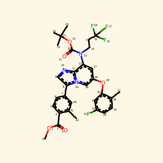 COC(=O)c1ccc(-c2cnc3c(N(CCC(F)(F)F)C(=O)OC(C)(C)C)cc(Oc4cc(F)ccc4C)cn23)cc1C